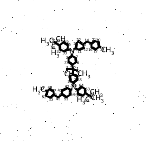 CCC(CC)(c1ccc(N(c2ccc(Cc3ccc(C)cc3)cc2)c2ccc(C(C)(C)C)cc2)cc1)c1ccc(N(c2ccc(Cc3ccc(C)cc3)cc2)c2ccc(C(C)(C)C)cc2)cc1